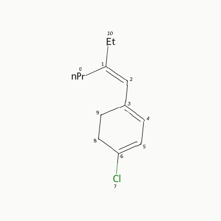 CCC/C(=C\C1=CC=C(Cl)CC1)CC